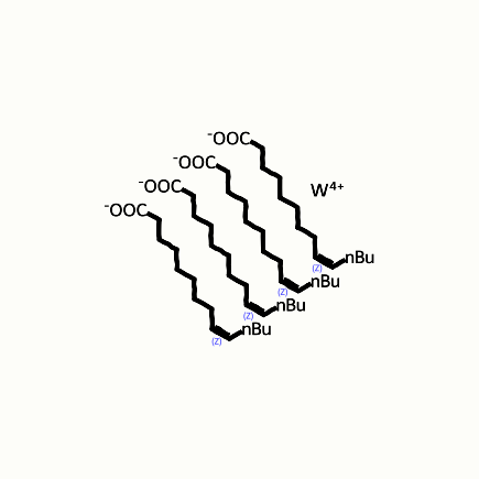 CCCC/C=C\CCCCCCCC(=O)[O-].CCCC/C=C\CCCCCCCC(=O)[O-].CCCC/C=C\CCCCCCCC(=O)[O-].CCCC/C=C\CCCCCCCC(=O)[O-].[W+4]